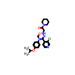 CC(C)Oc1ccc(N(C=O)/C(=N\NCC(=O)N2CCCCC2)c2ccncc2Cl)cc1